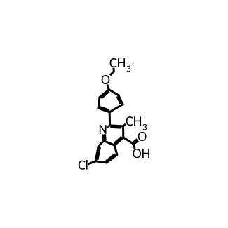 CCOc1ccc(-c2nc3cc(Cl)ccc3c(C(=O)O)c2C)cc1